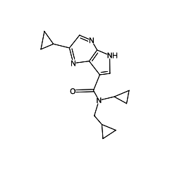 O=C(c1c[nH]c2ncc(C3CC3)nc12)N(CC1CC1)C1CC1